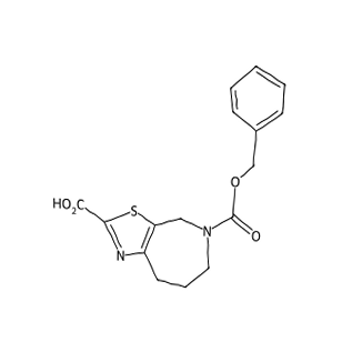 O=C(O)c1nc2c(s1)CN(C(=O)OCc1ccccc1)CCC2